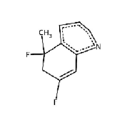 CC1(F)CC(F)=Cc2ncccc21